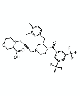 Cc1ccc(C[C@@H]2CN(CC#CCN3CCOCC3C(=O)O)CCN2C(=O)c2cc(C(F)(F)F)cc(C(F)(F)F)c2)cc1C